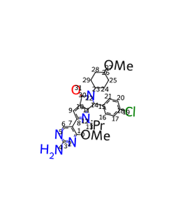 COc1nc(N)ncc1-c1cc2c(n1C(C)C)C(c1ccc(Cl)cc1)N([C@H]1CC[C@H](OC)CC1)C2=O